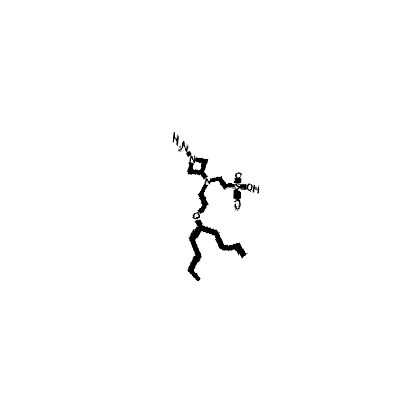 CCCCC(CCCC)OCCN(CCS(=O)(=O)O)C1CN(N)C1